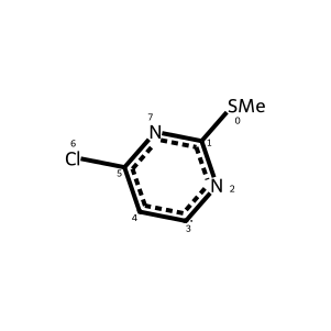 CSc1n[c]cc(Cl)n1